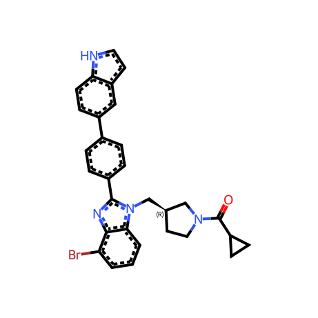 O=C(C1CC1)N1CC[C@@H](Cn2c(-c3ccc(-c4ccc5[nH]ccc5c4)cc3)nc3c(Br)cccc32)C1